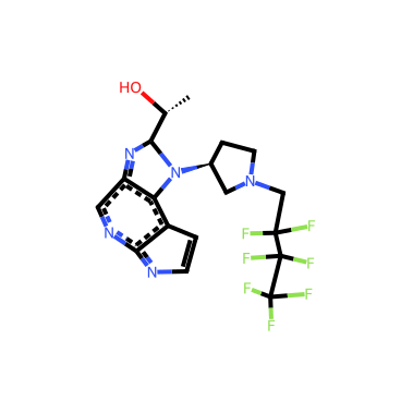 C[C@@H](O)C1N=c2cnc3c(c2N1[C@H]1CCN(CC(F)(F)C(F)(F)C(F)(F)F)C1)C=CN=3